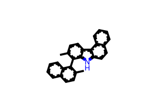 Cc1ccc2ccccc2c1-c1c(C)ccc2c1[nH]c1ccc3ccccc3c12